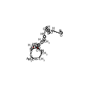 CC(=O)O[C@@H]1CC/C=C/O[C@H]2Oc3c(C)c(O)c4c(=O)c(c5oc6cc(N7CCC([N+](C)(C)Cc8ccc(NCCNC(=O)C9(C(=O)N[C@H](CC(=O)NCCCCCN%10C(=O)C=CC%10=O)c%10ccsc%10)CCC9)cc8)CC7)cc(O)c6nc-5c4c3C2=O)NC(=O)/C(C)=C\C=C\[C@H](C)CCC[C@H]1C